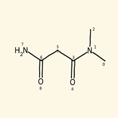 CN(C)C(=O)[CH]C(N)=O